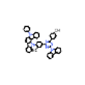 N#Cc1ccc(-c2nc(-c3ccc(-n4c5ccccc5c5ccc6c(c7ccccc7n6-c6ccccc6)c54)c(C#N)c3)nc(-n3c4ccccc4c4ccccc43)n2)cc1